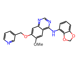 COc1cc2c(Nc3cccc4c3OCO4)ncnc2cc1OCc1cccnc1